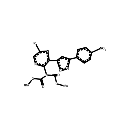 CC(C)(C)OC(=O)N(C(=O)OC(C)(C)C)c1ncc(Br)nc1-c1cc(-c2ccc([N+](=O)[O-])cc2)no1